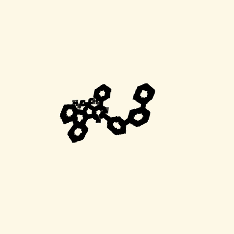 C[Si]1(C)c2c(-c3ccccc3)nc(-c3cccc(-c4cccc(-c5ccccc5)c4)c3)nc2-c2c1c1ccccc1c1ccccc21